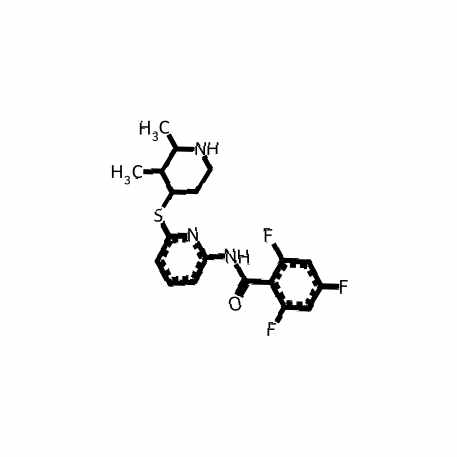 CC1NCCC(Sc2cccc(NC(=O)c3c(F)cc(F)cc3F)n2)C1C